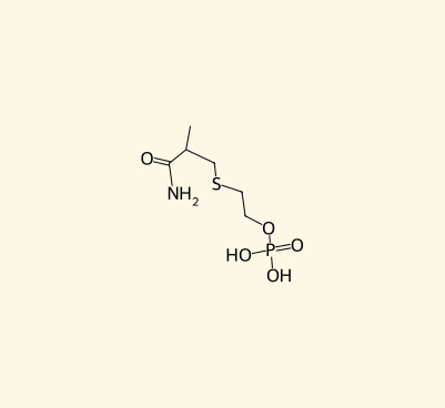 CC(CSCCOP(=O)(O)O)C(N)=O